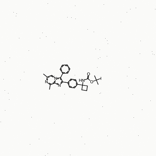 Cc1cn2c(-c3ccccc3)c(-c3ccc(C4(NC(=O)OC(C)(C)I)CCC4)cc3)nc2c(C)n1